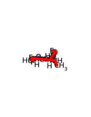 CCCCNc1nc(NCCOCCOCCC(=O)NCc2cc(F)c(O)c(F)c2)nc(NCc2cccc(F)c2)n1